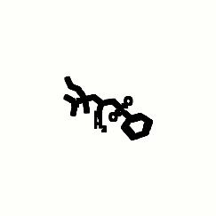 CCCC(C)(CC(N)CS(=O)(=O)c1ccccc1)N(C)C